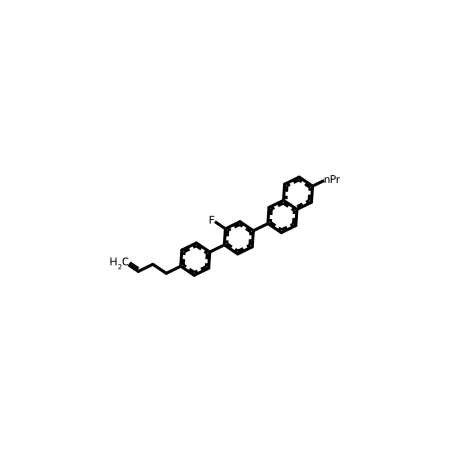 C=CCCc1ccc(-c2ccc(-c3ccc4cc(CCC)ccc4c3)cc2F)cc1